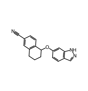 N#Cc1ccc2c(c1)CCCC2Oc1ccc2cn[nH]c2c1